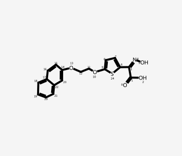 O=C(O)C(=NO)c1ccc(OCCOc2ccc3ccccc3c2)s1